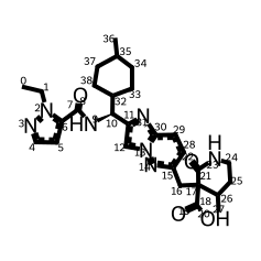 CCn1nccc1C(=O)N[C@H](c1cn2nc(CC3(C(=O)O)C(=O)NCCC3C)ccc2n1)C1CCC(C)CC1